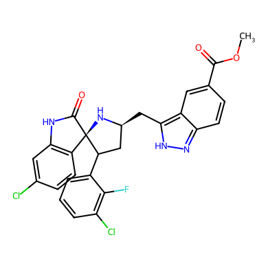 COC(=O)c1ccc2n[nH]c(C[C@H]3CC(c4cccc(Cl)c4F)[C@@]4(N3)C(=O)Nc3cc(Cl)ccc34)c2c1